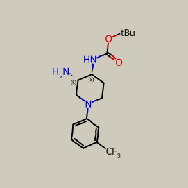 CC(C)(C)OC(=O)N[C@H]1CCN(c2cccc(C(F)(F)F)c2)C[C@@H]1N